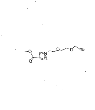 C#CCOCCOCCn1cc(C(=O)OC)cn1